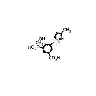 CO.Cc1cc(C(=O)O)cc(C(=O)O)c1.Cc1cc[nH]n1